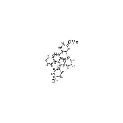 COc1ccc(-c2nc3ccccc3c3c(-c4ccc(Cl)cc4)c4ccccn4c23)cc1